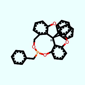 c1ccc(CP2OCc3cccc4c3[C@]3(c5ccccc5O4)c4ccccc4Oc4cccc(c43)O2)cc1